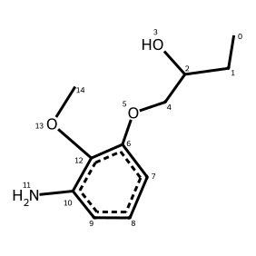 CCC(O)COc1cccc(N)c1OC